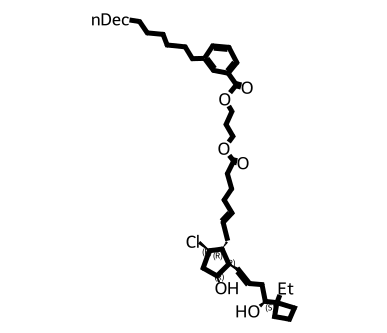 CCCCCCCCCCCCCCCCc1cccc(C(=O)OCCCOC(=O)CCCC=CC[C@@H]2[C@@H](C=CC[C@H](O)C3(CC)CCC3)[C@H](O)C[C@H]2Cl)c1